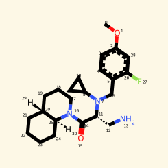 COc1ccc(CN(C2CC2)[C@H](CN)C(=O)N2CCC[C@H]3CCCC[C@@H]32)c(F)c1